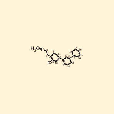 C=C=CCc1ccc(-c2cccc(-c3ccccc3)c2)cc1F